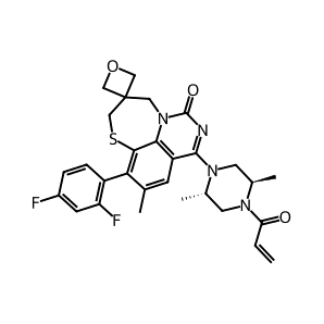 C=CC(=O)N1C[C@H](C)N(c2nc(=O)n3c4c(c(-c5ccc(F)cc5F)c(C)cc24)SCC2(COC2)C3)C[C@H]1C